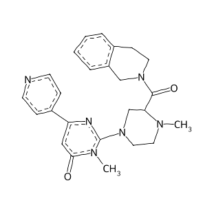 CN1CCN(c2nc(-c3ccncc3)cc(=O)n2C)CC1C(=O)N1CCc2ccccc2C1